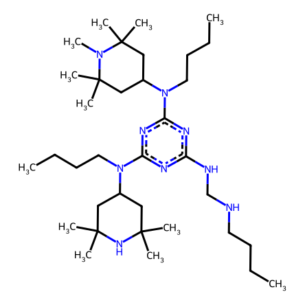 CCCCNCNc1nc(N(CCCC)C2CC(C)(C)NC(C)(C)C2)nc(N(CCCC)C2CC(C)(C)N(C)C(C)(C)C2)n1